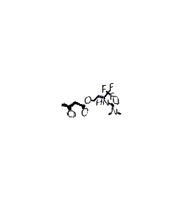 CC(=O)CC(=O)OC/C=C(\NC(=O)N(C)C)C(F)(F)F